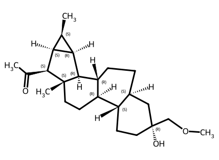 COC[C@@]1(O)CC[C@H]2[C@@H](CC[C@@H]3[C@@H]2CC[C@@]2(C)[C@H]3[C@@H]3[C@H](C)[C@@H]3[C@@H]2C(C)=O)C1